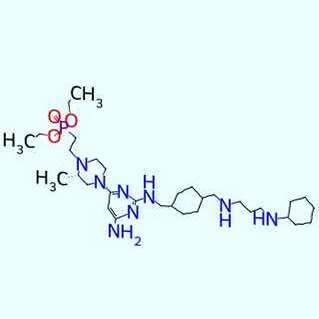 CCOP(=O)(CCN1CCN(c2cc(N)nc(NCC3CCC(CNCCCNC4CCCCC4)CC3)n2)C[C@@H]1C)OCC